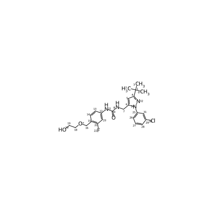 CC(C)(C)c1cc(CNC(=O)Nc2ccc(COCCO)c(F)c2)n(-c2cccc(Cl)c2)n1